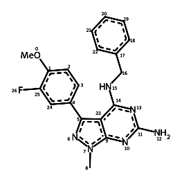 COc1ccc(-c2nn(C)c3nc(N)nc(NCc4ccccc4)c23)cc1F